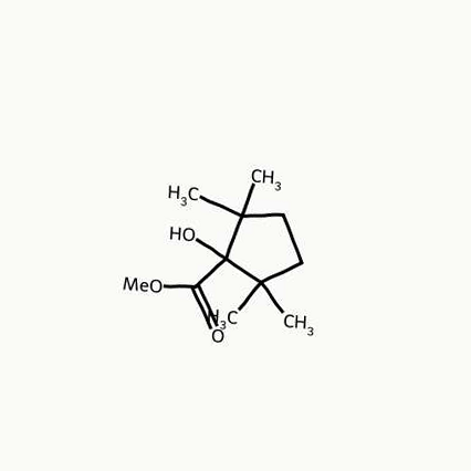 COC(=O)C1(O)C(C)(C)CCC1(C)C